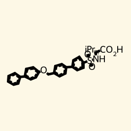 CC(C)[C@@H](NS(=O)(=O)c1ccc(-c2ccc(COc3ccc(-c4ccccc4)cc3)cc2)cc1)C(=O)O